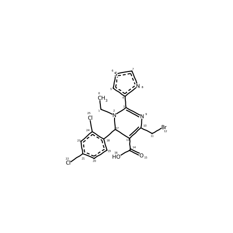 CCN1C(c2cscn2)=NC(CBr)=C(C(=O)O)C1c1ccc(Cl)cc1Cl